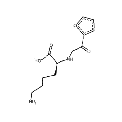 NCCCC[C@H](NCC(=O)c1ccco1)C(=O)O